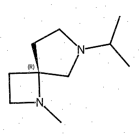 CC(C)N1CC[C@@]2(CCN2C)C1